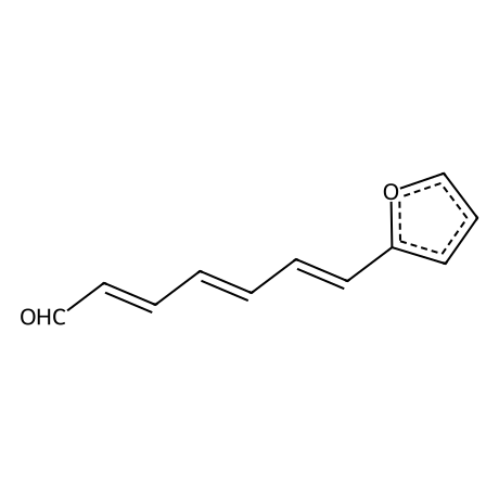 O=CC=CC=CC=Cc1ccco1